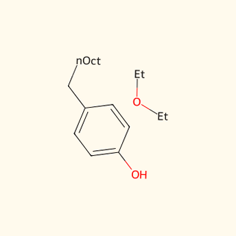 CCCCCCCCCc1ccc(O)cc1.CCOCC